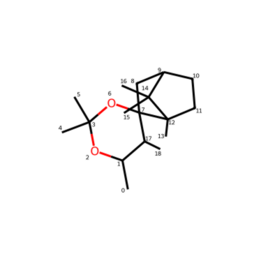 CC1OC(C)(C)OC2(CC3CCC2(C)C3(C)C)C1C